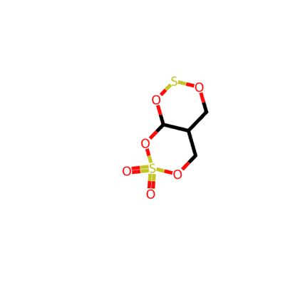 O=S1(=O)OCC2COSOC2O1